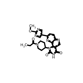 CCC(=O)N1CCC(n2c(=O)[nH]c(=O)c3cnc4ccc(-c5cnc(OC)nc5)nc4c32)CC1